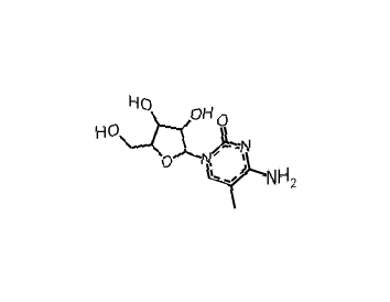 Cc1cn(C2OC(CO)C(O)C2O)c(=O)nc1N